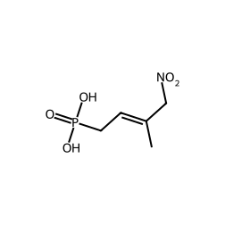 CC(=CCP(=O)(O)O)C[N+](=O)[O-]